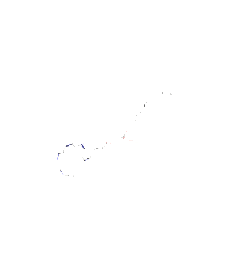 CCCCC/C=C\C/C=C\C/C=C\C/C=C\C/C=C\CCC(=O)OC[C@H](COC(=O)CCCCCCCCCCCCCCCCC)OCCCCCCCCCCCCCCCCCC